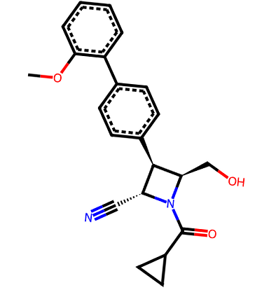 COc1ccccc1-c1ccc([C@@H]2[C@@H](C#N)N(C(=O)C3CC3)[C@@H]2CO)cc1